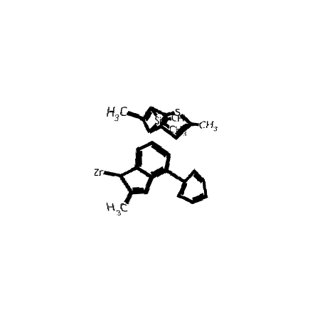 CC1=C2c3sc(C)cc3C1[Si]2(C)C.CC1=Cc2c(-c3ccccc3)cccc2[CH]1[Zr]